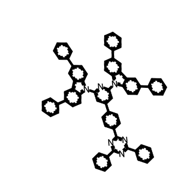 c1ccc(-c2ccc3c(c2)c2cc(-c4ccccc4)ccc2n3-c2cc(-c3ccc(-c4nc(-c5ccccc5)nc(-c5ccccc5)n4)cc3)cc(-n3c4ccc(-c5ccccc5)cc4c4cc(-c5ccccc5)ccc43)n2)cc1